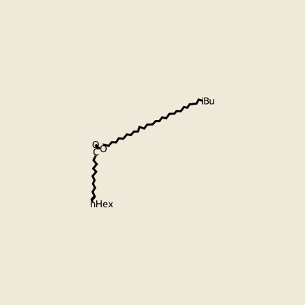 CCCCCCC=CCCCCCCCCCCCC(=O)OCCCCCCCCCCCCCCCCCCCCCCCCCCCC(C)CC